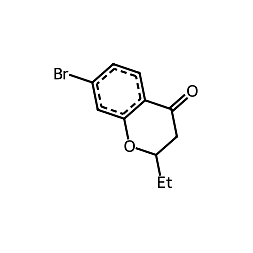 CCC1CC(=O)c2ccc(Br)cc2O1